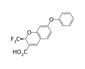 O=C(O)C1=Cc2ccc(Oc3ccccc3)cc2O[C@@H]1C(F)(F)F